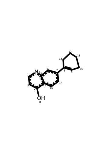 Oc1ccnc2cc(C3=CCCCC3)ccc12